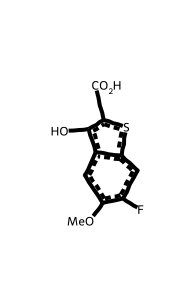 COc1cc2c(O)c(C(=O)O)sc2cc1F